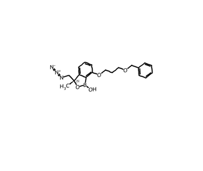 C[C@]1(CN=[N+]=[N-])OB(O)c2c(OCCCOCc3ccccc3)cccc21